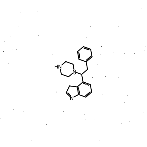 C1=Nc2cccc(C(Cc3ccccc3)N3CCNCC3)c2C1